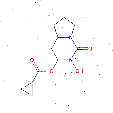 O=C(OC1CC2CCCN2C(=O)N1O)C1CC1